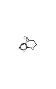 [Cu].c1cc2c(s1)OCCO2